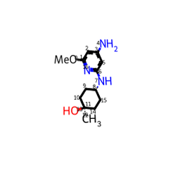 COc1cc(N)cc(N[C@H]2CC[C@](C)(O)CC2)n1